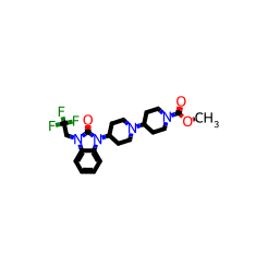 COC(=O)N1CCC(N2CCC(n3c(=O)n(CC(F)(F)F)c4ccccc43)CC2)CC1